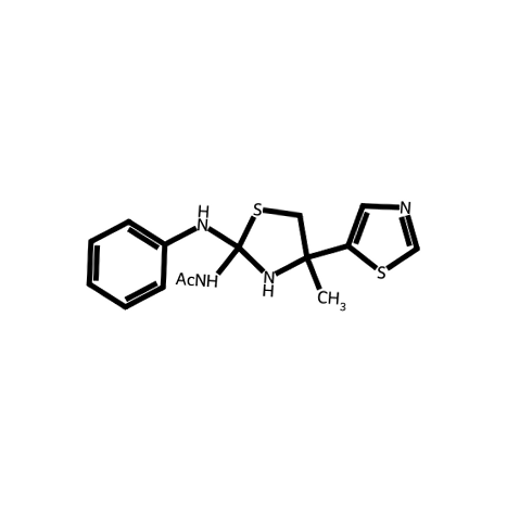 CC(=O)NC1(Nc2ccccc2)NC(C)(c2cncs2)CS1